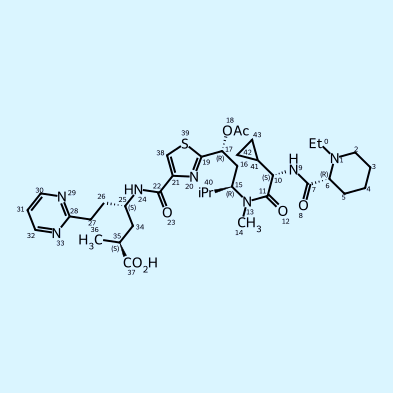 CCN1CCCC[C@@H]1C(=O)N[C@H](C(=O)N(C)[C@H](C[C@@H](OC(C)=O)c1nc(C(=O)N[C@@H](CCc2ncccn2)C[C@H](C)C(=O)O)cs1)C(C)C)C1CC1